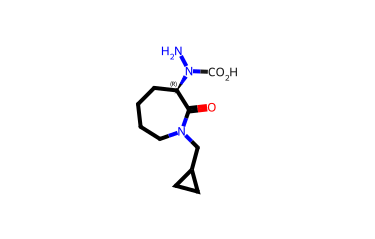 NN(C(=O)O)[C@@H]1CCCCN(CC2CC2)C1=O